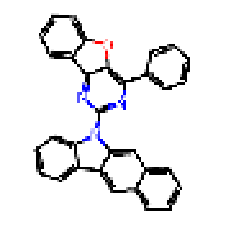 c1ccc(-c2nc(-n3c4ccccc4c4cc5ccccc5cc43)nc3c2oc2ccccc23)cc1